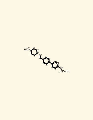 CCCCCOc1ccc(-c2ccc(CC[C@H]3CC[C@H](CCC)CC3)cc2)nn1